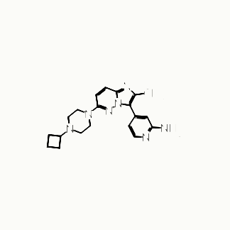 Cc1nc2ccc(N3CCN(C4CCC4)CC3)nn2c1-c1ccnc(N)c1